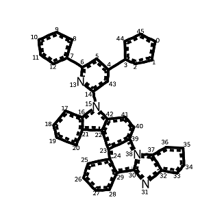 c1ccc(-c2cc(-c3ccccc3)nc(-n3c4ccccc4c4c5c6ccccc6c6nc7ccccc7n6c5ccc43)c2)cc1